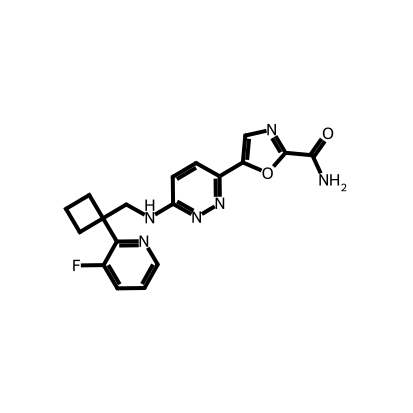 NC(=O)c1ncc(-c2ccc(NCC3(c4ncccc4F)CCC3)nn2)o1